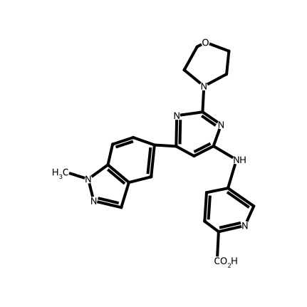 Cn1ncc2cc(-c3cc(Nc4ccc(C(=O)O)nc4)nc(N4CCOCC4)n3)ccc21